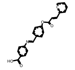 O=C(C=Cc1ccccc1)Oc1ccc(/C=N/c2ccc(C(=O)O)cc2)cc1